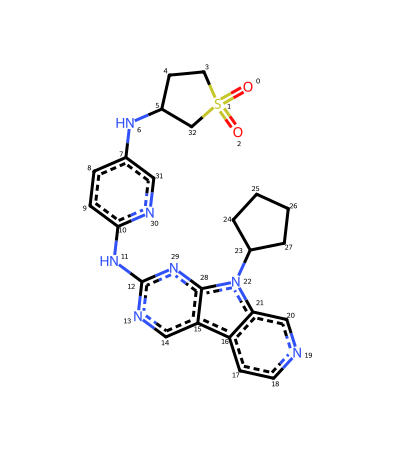 O=S1(=O)CCC(Nc2ccc(Nc3ncc4c5ccncc5n(C5CCCC5)c4n3)nc2)C1